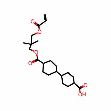 C=CC(=O)OCC(C)(C)COC(=O)C1CCC(C2CCC(C(=O)O)CC2)CC1